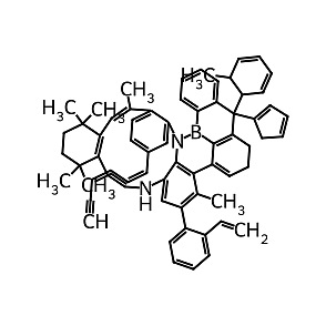 C#C/C=C\C=C/c1ccc2c(C)cc3c(cc[nH]c4cc(-c5ccccc5C=C)c(C)c5c4n(c2c1)B1C2=C(CCC=C25)C(C2=CC=CC2)(C2C=CC=CC2C)c2ccccc21)C(C)(C)CCC3(C)C